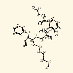 C=CC(Cc1ccccc1)C(CCCCCCC)CCC(=C)Nc1c(C)cccc1C(=O)OCCC